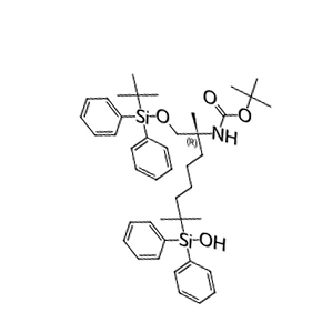 CC(C)(C)OC(=O)N[C@](C)(CCCCC(C)(C)[Si](O)(c1ccccc1)c1ccccc1)CO[Si](c1ccccc1)(c1ccccc1)C(C)(C)C